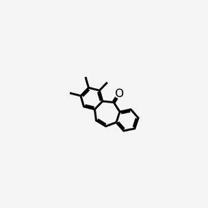 Cc1cc2ccc3ccccc3c(=O)c2c(C)c1C